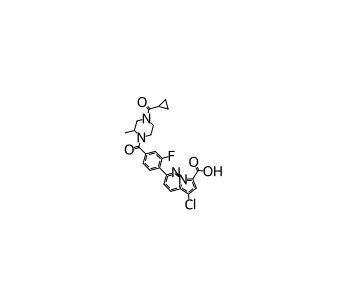 CC1CN(C(=O)C2CC2)CCN1C(=O)c1ccc(-c2ccc3c(Cl)cc(C(=O)O)n3n2)c(F)c1